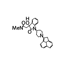 CNC(=O)CC1(O)C(=O)N(C2CCN(C3=C4C=CC=C5C=CC=C(C3)C54)CC2)c2ccccc21